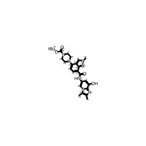 Cc1nc2c(O)cc(NC(=O)c3ccc(N4CCN(C(=O)OC(C)(C)C)CC4)c4cn(C)nc34)cn2c1C